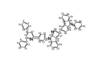 c1ccc(-c2cc(-c3ccccc3)nc(-c3ccc(-n4c5ccccc5c5cc(-c6ccc7c(c6)c6ccccc6n7-c6ccccc6)cnc54)cc3)c2)cc1